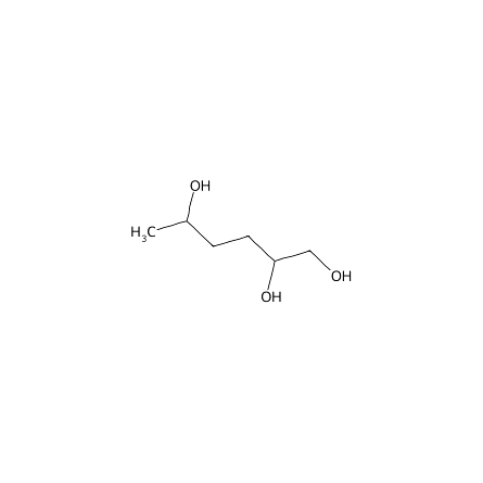 CC(O)CCC(O)CO